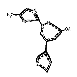 Oc1cc(-c2ccsc2)nc(-c2nc(C(F)(F)F)cs2)n1